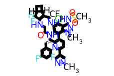 Cn1cc(-c2ccc(-c3ccc(Cl)c4c(NS(C)(=O)=O)nn(C)c34)c([C@H](Cc3cc(F)cc(F)c3)NC(=O)CNC3=C(C(=N)C(F)(F)F)[C@H]4CC[C@H]4C3(F)F)n2)cn1